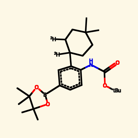 [2H]C1CC(C)(C)CCC1([2H])c1cc(B2OC(C)(C)C(C)(C)O2)ccc1NC(=O)OC(C)(C)C